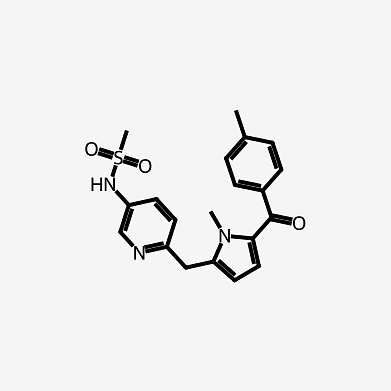 Cc1ccc(C(=O)c2ccc(Cc3ccc(NS(C)(=O)=O)cn3)n2C)cc1